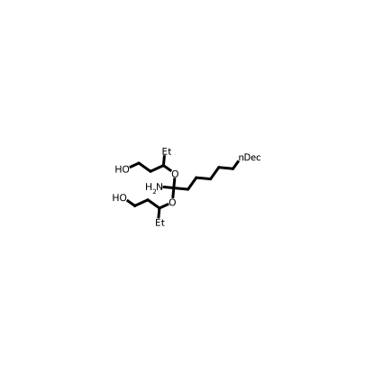 CCCCCCCCCCCCCCCC(N)(OC(CC)CCO)OC(CC)CCO